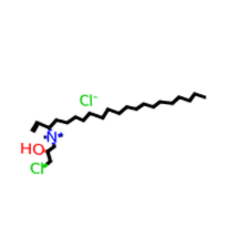 C=CC(CCCCCCCCCCCCCCCCCC)[N+](C)(C)CC(O)CCl.[Cl-]